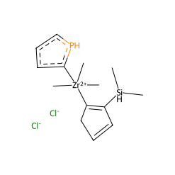 C[SiH](C)C1=[C]([Zr+2]([CH3])([CH3])([CH3])[c]2ccc[pH]2)CC=C1.[Cl-].[Cl-]